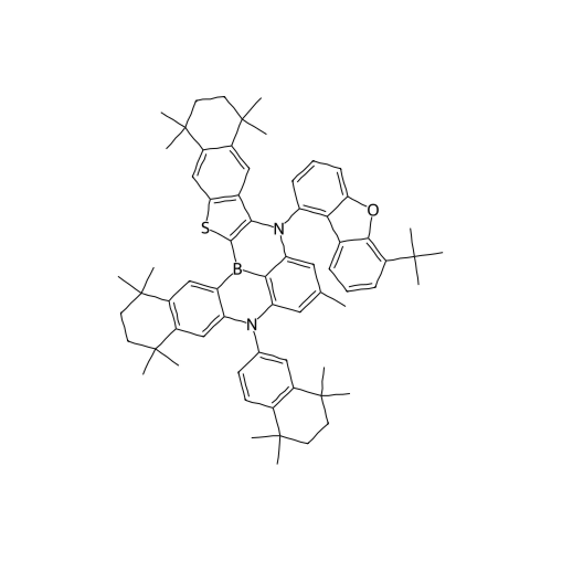 Cc1cc2c3c(c1)N(c1cccc4oc5c(C(C)(C)C)cccc5c14)c1c(sc4cc5c(cc14)C(C)(C)CCC5(C)C)B3c1cc3c(cc1N2c1ccc2c(c1)C(C)(C)CCC2(C)C)C(C)(C)CCC3(C)C